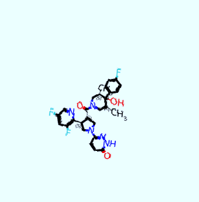 C[C@@H]1CN(C(=O)[C@@H]2CN(c3ccc(=O)[nH]n3)C[C@H]2c2ncc(F)cc2F)C[C@H](C)[C@]1(O)c1ccc(F)cc1